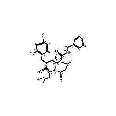 CN1CC(=O)N2[C@@H](CC(=O)O)C(=O)N(Cc3ccc(Cl)cc3Cl)C[C@@H]2N1C(=O)NCc1ccccc1